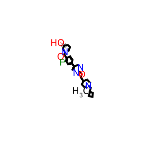 CC1(CN2CCC(COc3ncc(-c4ccc(C(=O)N5CCC[C@@H](O)C5)c(F)c4)cn3)CC2)CCC1